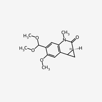 COc1cc2c(cc1C(OC)OC)N(C)C(=O)[C@H]1CC21